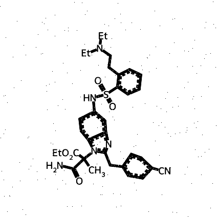 CCOC(=O)C(C)(C(N)=O)n1c(Cc2ccc(C#N)cc2)nc2cc(NS(=O)(=O)c3ccccc3CCN(CC)CC)ccc21